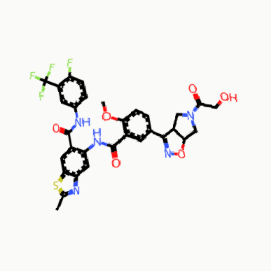 COc1ccc(C2=NOC3CN(C(=O)CO)CC23)cc1C(=O)Nc1cc2nc(C)sc2cc1C(=O)Nc1ccc(F)c(C(F)(F)F)c1